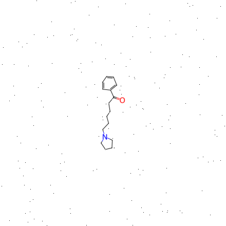 O=C(CCCCCN1C[CH]CC1)c1ccccc1